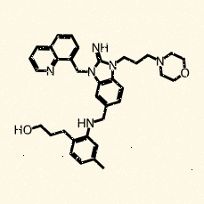 Cc1ccc(CCCO)c(NCc2ccc3c(c2)n(Cc2cccc4cccnc24)c(=N)n3CCCN2CCOCC2)c1